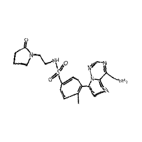 Cc1ccc(S(=O)(=O)NCCN2CCCC2=O)cc1-c1cnc2c(N)ncnn12